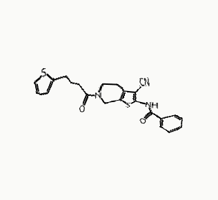 N#Cc1c(NC(=O)c2ccccc2)sc2c1CCN(C(=O)CCCc1cccs1)C2